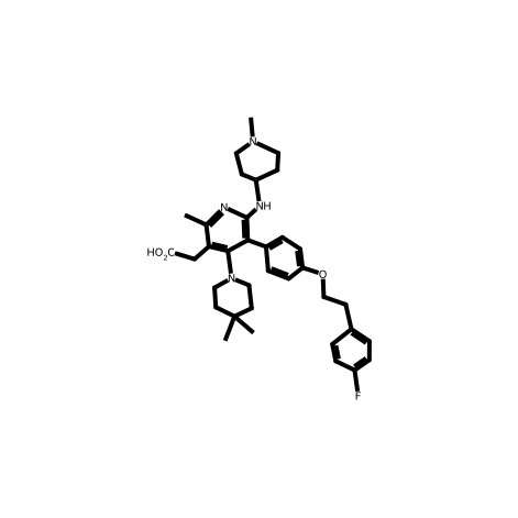 Cc1nc(NC2CCN(C)CC2)c(-c2ccc(OCCc3ccc(F)cc3)cc2)c(N2CCC(C)(C)CC2)c1CC(=O)O